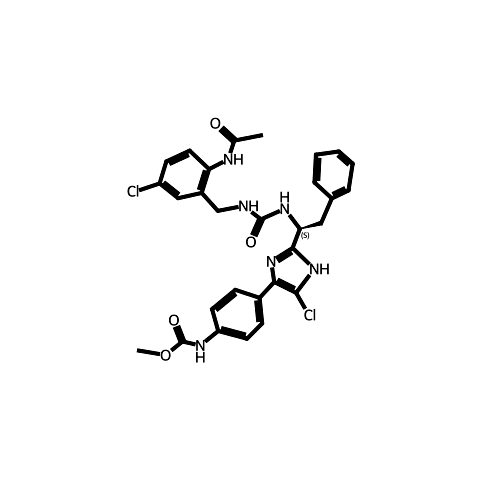 COC(=O)Nc1ccc(-c2nc([C@H](Cc3ccccc3)NC(=O)NCc3cc(Cl)ccc3NC(C)=O)[nH]c2Cl)cc1